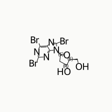 OC[C@@H]1O[C@H](n2c(Br)nc3c(Br)nc(Br)nc32)C[C@H]1O